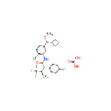 COC(c1ccc(Cl)c(NC(=O)[C@H](c2ccc(Cl)cc2)[C@@H](C)C(F)(F)F)c1)C1CCC1.O=C(O)O